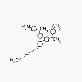 CCCCCCCCCCC1CCC(c2ccc(C(C)c3ccc(N)cc3)cc2)(c2ccc(C(C)c3ccc(N)cc3)cc2)CC1